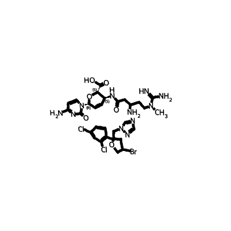 CN(CCC(N)CC(=O)N[C@H]1C=C[C@H](n2ccc(N)nc2=O)O[C@@H]1C(=O)O)C(=N)N.Clc1ccc(C2(Cn3cncn3)CC(Br)CO2)c(Cl)c1